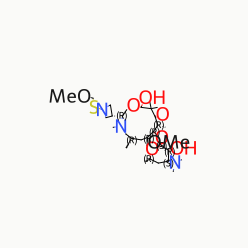 COCSN1CC([C@@H]2COC(O)C(C)(C)C(=O)[C@H](C)[C@@H](O[C@@H]3O[C@H](C)C[C@H](N(C)C)[C@H]3O)[C@](C)(OC)C[C@@H](C)CN2C)C1